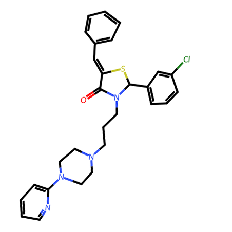 O=C1/C(=C/c2ccccc2)SC(c2cccc(Cl)c2)N1CCCN1CCN(c2ccccn2)CC1